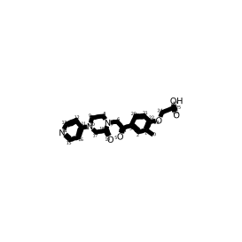 Cc1cc(C(=O)CN2CCN(c3ccncc3)CC2=O)ccc1OCC(=O)O